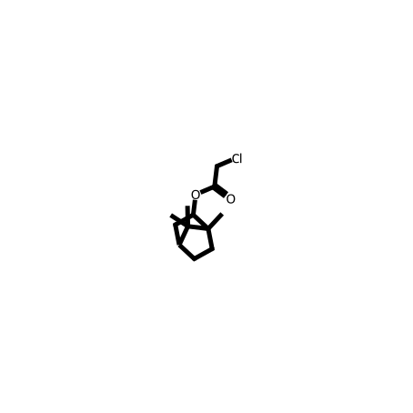 CC1(C)C2CCC1(C)C(OC(=O)CCl)C2